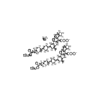 CC(C)(C)OC(=O)N1CC2(CCN(c3ccc(-c4cc(F)c5c(c4)C(=O)N(C(C(=O)[O-])c4ncn6c4CCC6)C5)cc3)CC2)C1.CC(C)(C)OC(=O)N1CC2(CCN(c3ccc(-c4cc(F)c5c(c4)C(=O)N(C(C(=O)[O-])c4ncn6c4CCC6)C5)cc3)CC2)C1.[Li+].[Li+]